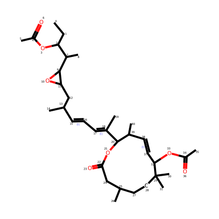 CCC(OC(C)=O)C(C)C1OC1CC(C)/C=C/C=C(\C)C1OC(=O)CC(C)CCC(C)(C)C(OC(C)=O)/C=C/C1C